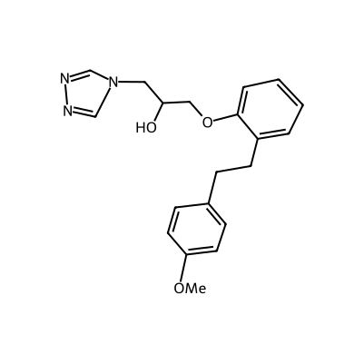 COc1ccc(CCc2ccccc2OCC(O)Cn2cnnc2)cc1